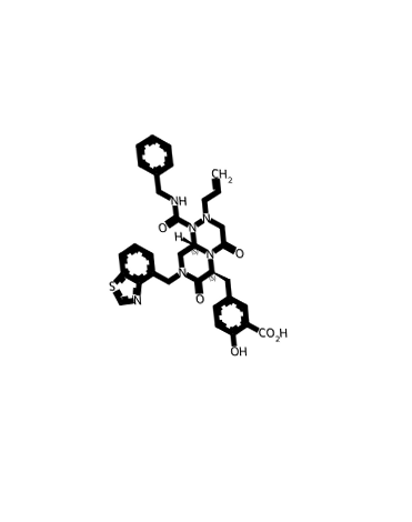 C=CCN1CC(=O)N2[C@@H](Cc3ccc(O)c(C(=O)O)c3)C(=O)N(Cc3cccc4scnc34)C[C@@H]2N1C(=O)NCc1ccccc1